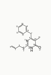 C=CCSc1nc(Cc2ccccc2)c(C)c(=O)[nH]1